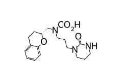 O=C(O)N(CCCN1CCCNC1=O)C[C@H]1CCc2ccccc2O1